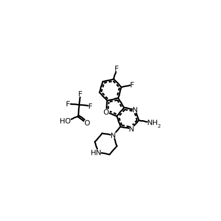 Nc1nc(N2CCNCC2)c2oc3ccc(F)c(F)c3c2n1.O=C(O)C(F)(F)F